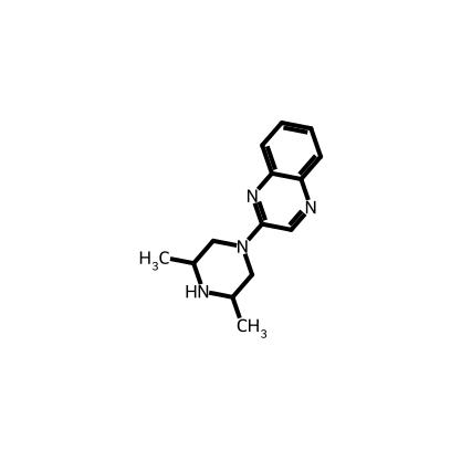 CC1CN(c2cnc3ccccc3n2)CC(C)N1